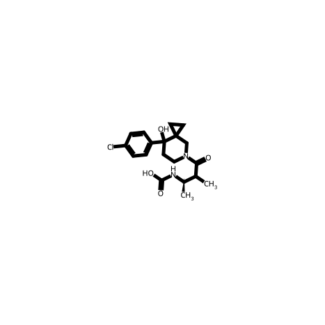 CC(C(=O)N1CCC(O)(c2ccc(Cl)cc2)C2(CC2)C1)[C@@H](C)NC(=O)O